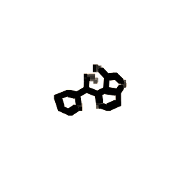 NC(c1ccccn1)c1nccc2scc(Br)c12